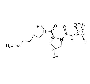 C=CCCCCN(C)C(=O)[C@@H]1C[C@@H](O)CN1C(=O)N[C@]1(C(=O)OCC)C[C@H]1I